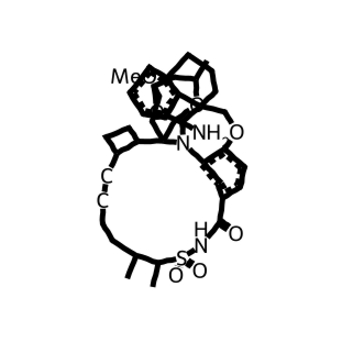 COCCC1(C2(N)OCCC(C)O2)C2CCC2CCCCC(C)C(C)S(=O)(=O)NC(=O)c2ccc3c(c2)N1CC1(CCCc2ccccc21)CO3